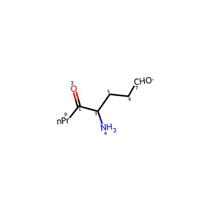 CCCC(=O)C(N)CC[C]=O